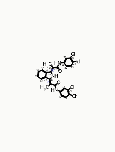 C/C(C(=O)Nc1ccc(Cl)c(Cl)c1)=c1/[nH]/c(=C(/C)C(=O)Nc2ccc(Cl)c(Cl)c2)c2ccccc12